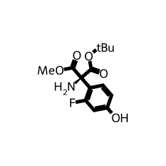 COC(=O)[C@](N)(C(=O)OC(C)(C)C)c1ccc(O)cc1F